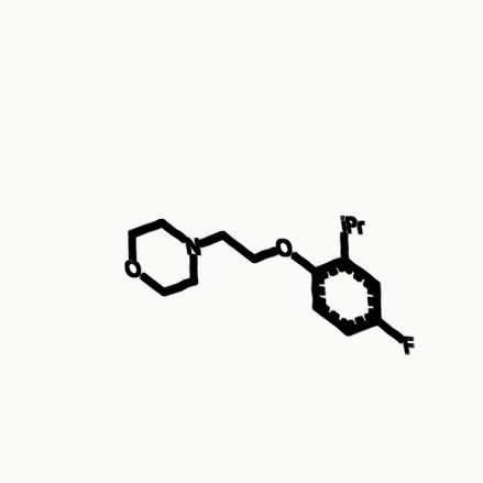 CC(C)c1cc(F)ccc1OCCN1CCOCC1